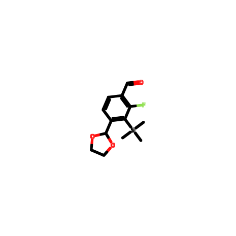 C[Si](C)(C)c1c(C2OCCO2)ccc(C=O)c1F